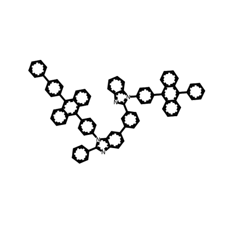 c1ccc(-c2ccc(-c3c4ccccc4c(-c4ccc(-n5c(-c6ccccc6)nc6ccc(-c7cccc(-c8nc9ccccc9n8-c8ccc(-c9c%10ccccc%10c(-c%10ccccc%10)c%10ccccc9%10)cc8)c7)cc65)cc4)c4ccccc34)cc2)cc1